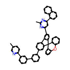 Cc1ccc(-c2cccc(-c3cccc(-c4ccc5c(c4)C4(c6ccccc6Oc6ccccc64)c4ccc(-c6cc(-c7cccc8ccccc78)nc(C)n6)cc4-5)c3)c2)nc1